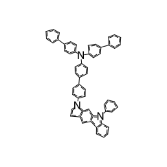 c1ccc(-c2ccc(N(c3ccc(-c4ccccc4)cc3)c3ccc(-c4ccc(-n5ccc6cc7c8ccccc8n(-c8ccccc8)c7cc65)cc4)cc3)cc2)cc1